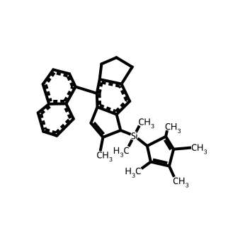 CC1=Cc2c(cc3c(c2-c2cccc4ccccc24)CCC3)C1[Si](C)(C)C1C(C)=C(C)C(C)=C1C